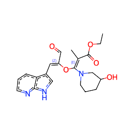 CCOC(=O)/C(C)=C(/O/C(C=O)=C\c1c[nH]c2ncccc12)N1CCCC(O)C1